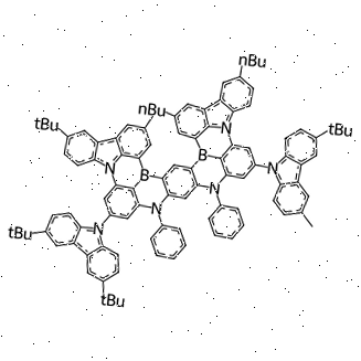 CCCCc1ccc2c(c1)c1cc(CCCC)cc3c1n2-c1cc(-n2c4ccc(C)cc4c4cc(C(C)(C)C)ccc42)cc2c1B3c1cc3c(cc1N2c1ccccc1)N(c1ccccc1)c1cc(-n2c4ccc(C(C)(C)C)cc4c4cc(C(C)(C)C)ccc42)cc2c1B3c1cc(C)cc3c4cc(C(C)(C)C)ccc4n-2c13